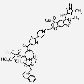 Cc1[nH]nc(Nc2ncnc3cc(OCCCN4CCN(c5ncc(C(=O)N6CC[C@H]7CC[C@@H](C(=O)N[C@@H]8CCCc9ccccc98)N7C(=O)[C@@H](NC(=O)C(C)N(C)C(=O)O)C6)cn5)CC4)c(S(=O)(=O)C(C)(C)C)cc23)c1C